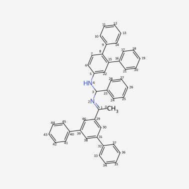 C/C(=N\C(Nc1ccc(-c2ccccc2)c(-c2ccccc2)c1)c1ccccc1)c1cc(-c2ccccc2)cc(-c2ccccc2)c1